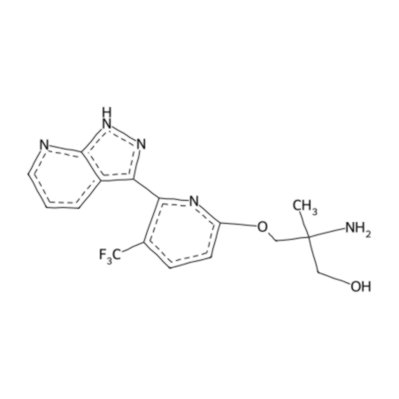 CC(N)(CO)COc1ccc(C(F)(F)F)c(-c2n[nH]c3ncccc23)n1